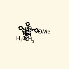 COc1ccc(CCC(=O)[C@H]2O[C@@H]3SC(N(C)C)=N[C@@H]3[C@@H](OCc3ccccc3)[C@@H]2OCc2ccccc2)cc1